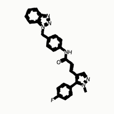 Cn1ncc(C=CC(=O)Nc2ccc(Cn3nnc4ccccc43)cc2)c1-c1ccc(F)cc1